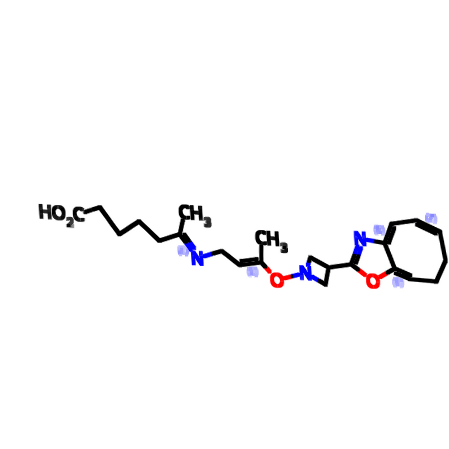 C/C(=C\C/N=C(\C)CCCCC(=O)O)ON1CC(c2nc3/c(o2)=C\CC/C=C\C=3)C1